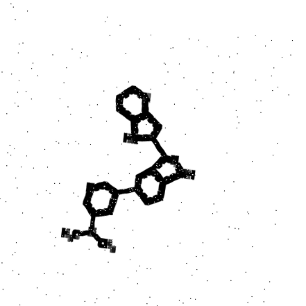 CN(C)c1cncc(-c2ccc3[nH]nc(-c4cc5ncccc5[nH]4)c3c2)c1